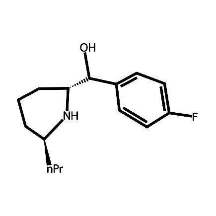 CCC[C@H]1CCC[C@H](C(O)c2ccc(F)cc2)N1